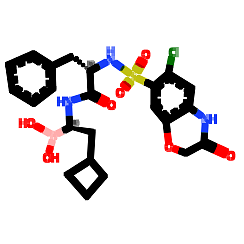 O=C1COc2cc(S(=O)(=O)N[C@@H](Cc3ccccc3)C(=O)N[C@@H](CC3CCC3)B(O)O)c(Cl)cc2N1